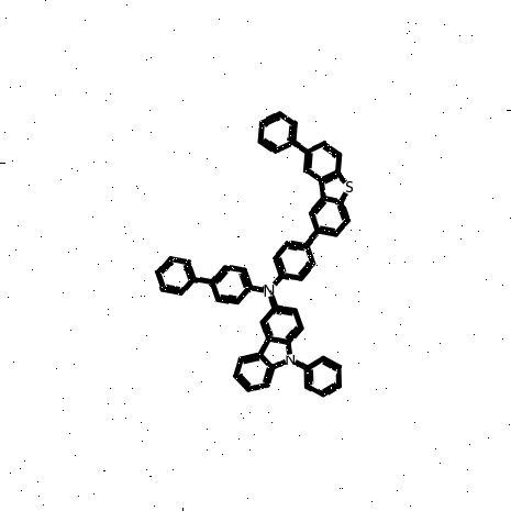 c1ccc(-c2ccc(N(c3ccc(-c4ccc5sc6ccc(-c7ccccc7)cc6c5c4)cc3)c3ccc4c(c3)c3ccccc3n4-c3ccccc3)cc2)cc1